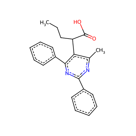 CCCC(C(=O)O)c1c(C)nc(-c2ccccc2)nc1-c1ccccc1